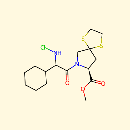 COC(=O)[C@@H]1CC2(CN1C(=O)C(NCl)C1CCCCC1)SCCS2